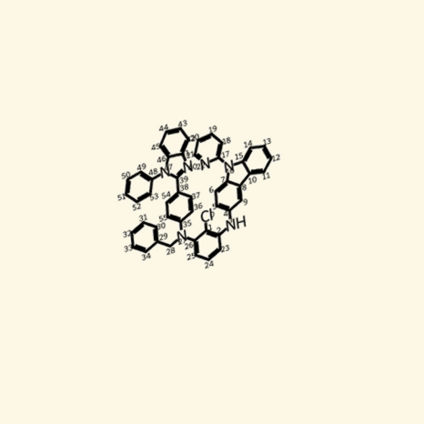 Clc1c(Nc2ccc3c(c2)c2ccccc2n3-c2ccccn2)cccc1N(Cc1ccccc1)c1ccc(-c2nc3ccccc3n2-c2ccccc2)cc1